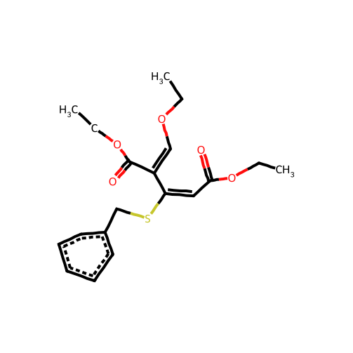 CCOC=C(C(=O)OCC)C(=CC(=O)OCC)SCc1ccccc1